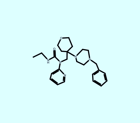 CCNC(=O)N(CC1(N2CCN(Cc3ccccc3)CC2)CCOCC1)c1ccccn1